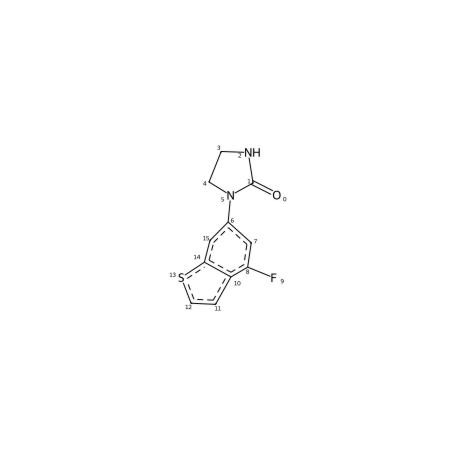 O=C1NCCN1c1cc(F)c2ccsc2c1